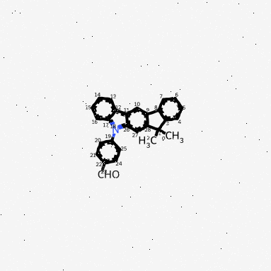 CC1(C)c2ccccc2-c2cc3c4ccccc4n(-c4ccc(C=O)cc4)c3cc21